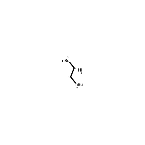 CCCCCCCCCC.I